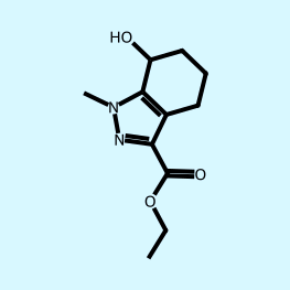 CCOC(=O)c1nn(C)c2c1CCCC2O